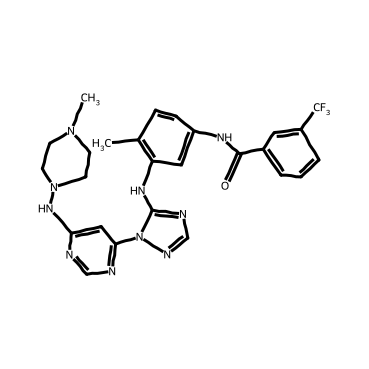 Cc1ccc(NC(=O)c2cccc(C(F)(F)F)c2)cc1Nc1ncnn1-c1cc(NN2CCN(C)CC2)ncn1